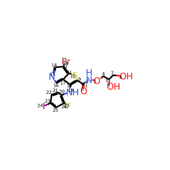 O=C(NOC[C@H](O)CO)c1sc2c(Br)cncc2c1Nc1ccc(I)cc1F